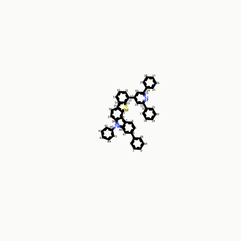 c1ccc(-c2ccc3c4c5sc6c(-c7cc(-c8ccccc8)nc(-c8ccccc8)c7)cccc6c5ccc4n(-c4ccccc4)c3c2)cc1